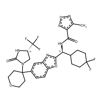 Cc1nonc1C(=O)N[C@H](c1nc2cc(C3(N4C[C@@H](C(F)(F)F)NC4=O)CCOCC3)ccc2o1)C1CCC(F)(F)CC1